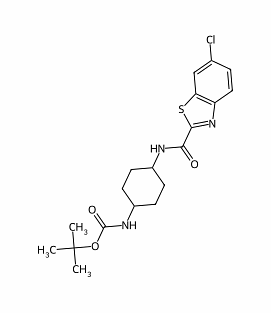 CC(C)(C)OC(=O)NC1CCC(NC(=O)c2nc3ccc(Cl)cc3s2)CC1